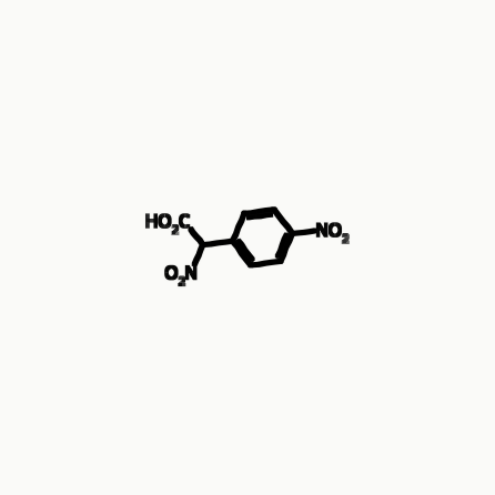 O=C(O)C(c1ccc([N+](=O)[O-])cc1)[N+](=O)[O-]